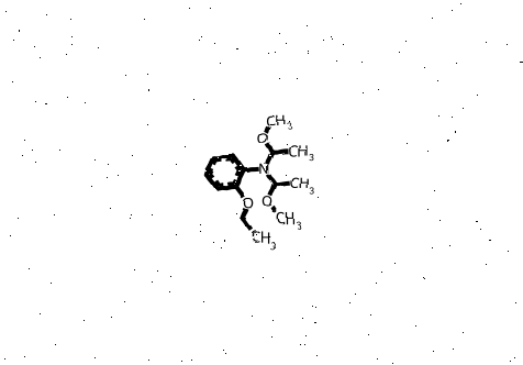 CCOc1ccccc1N(C(C)OC)C(C)OC